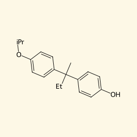 CCC(C)(c1ccc(O)cc1)c1ccc(OC(C)C)cc1